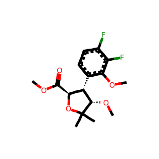 COC(=O)[C@@H]1OC(C)(C)[C@@H](OC)[C@H]1c1ccc(F)c(F)c1OC